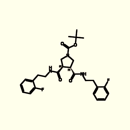 CC(C)(C)OC(=O)N1C[C@H](C(=O)NCCc2ccccc2F)[C@@H](C(=O)NCCc2ccccc2F)C1